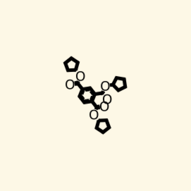 O=C(OC1CCCC1)c1ccc(C(=O)OC2CCCC2)c(C(=O)OC2CCCC2)c1